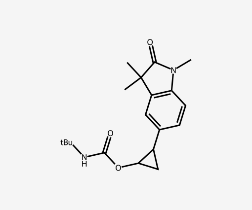 CN1C(=O)C(C)(C)c2cc(C3CC3OC(=O)NC(C)(C)C)ccc21